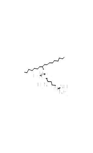 CCCCCCCCCC(CCCCCCC)COP(=O)(O)OC(=O)[C@@H](N)CCCNC(=N)N